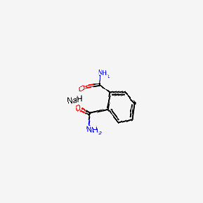 NC(=O)c1ccccc1C(N)=O.[NaH]